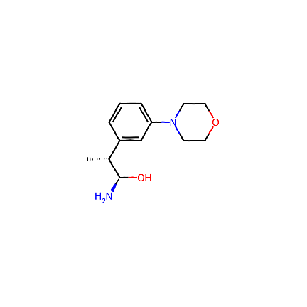 C[C@H](c1cccc(N2CCOCC2)c1)[C@H](N)O